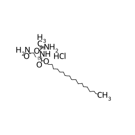 CCCCCCCCCCCCCCCCCCOC(=O)[C@H](CCC(N)=O)NC(=O)[C@@H](C)N.Cl